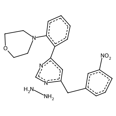 NN.O=[N+]([O-])c1cccc(Cc2cc(-c3ccccc3N3CCOCC3)ncn2)c1